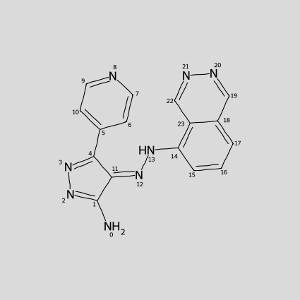 NC1=NN=C(c2ccncc2)/C1=N\Nc1cccc2cnncc12